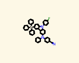 N#Cc1ccc(N(c2ccccc2)c2ccc3c(c2)c2cc([Si](c4ccccc4)(c4ccccc4)c4ccccc4)ccc2n3-c2ccc(F)cc2)cc1